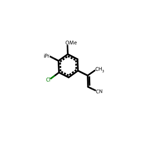 COc1cc(/C(C)=C/C#N)cc(Cl)c1C(C)C